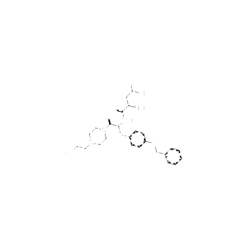 CC(C)CC(N)C(=O)NC(Cc1ccc(OCc2ccccc2)cc1)C(=O)N1CCN(CCO)CC1